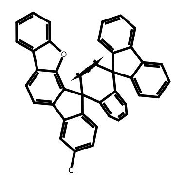 Clc1ccc2c(c1)-c1ccc3c(oc4ccccc43)c1C21c2ccccc2C2(c3ccccc3-c3ccccc32)c2ccccc21